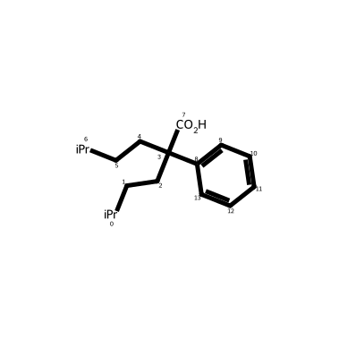 CC(C)CCC(CCC(C)C)(C(=O)O)c1ccccc1